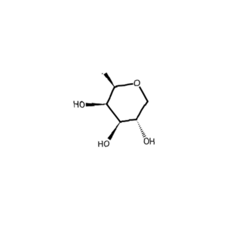 [CH2][C@H]1OC[C@H](O)[C@@H](O)[C@H]1O